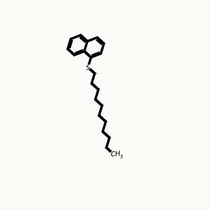 CCCCCCCCCC[CH]Sc1cccc2ccccc12